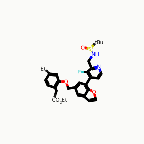 CCOC(=O)Cc1ccc(CC)cc1OCc1cc(-c2ccnc(CN[S+]([O-])C(C)(C)C)c2F)c2occc2c1